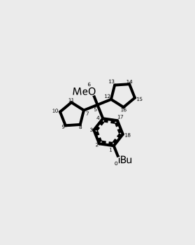 CCC(C)c1ccc(C(OC)(C2CCCC2)C2CCCC2)cc1